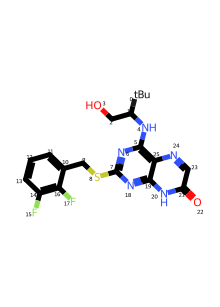 CC(C)(C)C(CO)Nc1nc(SCc2cccc(F)c2F)nc2[nH]c(=O)cnc12